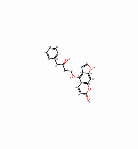 O=C(CCOc1c2ccoc2cc2oc(=O)ccc12)Cc1ccccc1